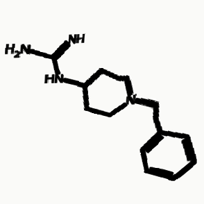 N=C(N)NC1CCN(Cc2ccccc2)CC1